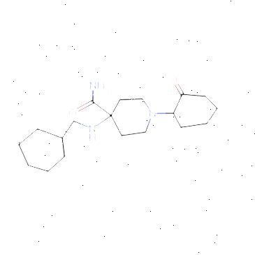 NC(=O)C1(NCC2CCCCC2)CCN(C2CCCCC2=O)CC1